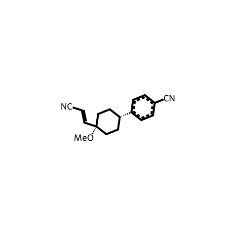 CO[C@]1(C=CC#N)CC[C@H](c2ccc(C#N)cc2)CC1